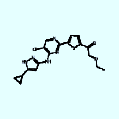 CCOCC(=O)c1ccc(-c2ncc(Cl)c(Nc3cc(C4CC4)[nH]n3)n2)s1